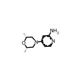 C[C@@H]1CN(c2ccnc(N)c2)C[C@H](C)O1